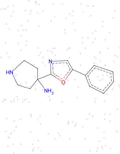 NC1(c2ncc(-c3ccccc3)o2)CCNCC1